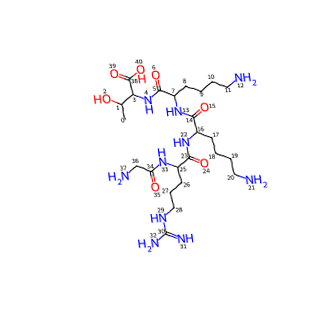 CC(O)C(NC(=O)C(CCCCN)NC(=O)C(CCCCN)NC(=O)C(CCCNC(=N)N)NC(=O)CN)C(=O)O